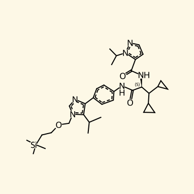 CC(C)c1c(-c2ccc(NC(=O)[C@@H](NC(=O)c3ccnn3C(C)C)C(C3CC3)C3CC3)cc2)ncn1COCC[Si](C)(C)C